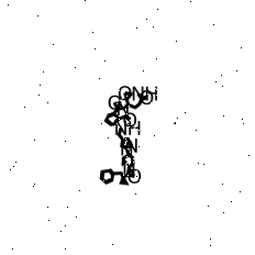 O=C1CCC(N2C(=O)c3cccc(NCc4cnn(C5CCN(C(=O)C6(Cc7ccccc7)CC6)CC5)c4)c3C2=O)C2OC2N1